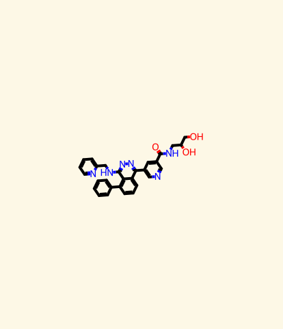 O=C(NCC(O)CO)c1cncc(-c2nnc(NCc3ccccn3)c3c(-c4ccccc4)cccc23)c1